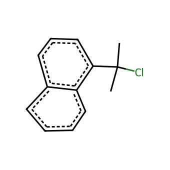 CC(C)(Cl)c1cccc2ccccc12